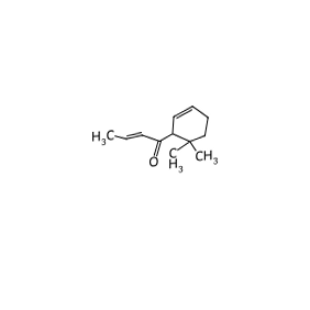 CC=CC(=O)C1C=CCCC1(C)C